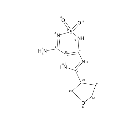 NC1=NS(=O)(=O)Nc2nc(C3CCOC3)[nH]c21